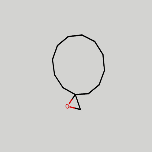 C1CCCCCC2(CCCCC1)CO2